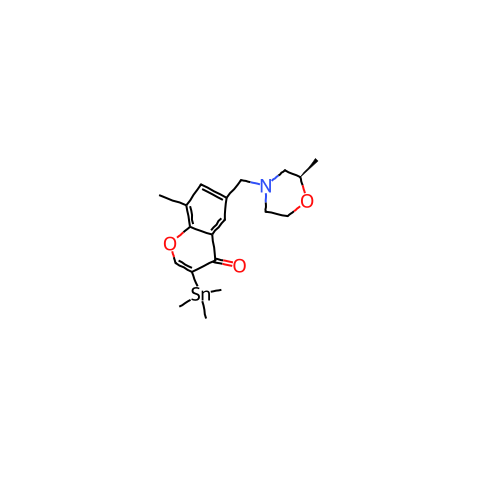 Cc1cc(CN2CCO[C@H](C)C2)cc2c(=O)[c]([Sn]([CH3])([CH3])[CH3])coc12